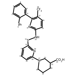 CC(C)c1ccccc1-c1nc(NSc2cccc(N3CCCC(C(=O)O)C3)n2)ccc1C(F)(F)F